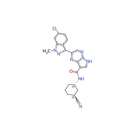 Cn1nc(-c2cnc3[nH]cc(C(=O)N[C@H]4CCC[C@H](C#N)C4)c3n2)c2ccc(Cl)cc21